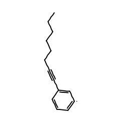 CCCCCCC#Cc1c[c]ccc1